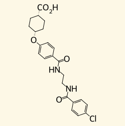 O=C(NCCNC(=O)c1ccc(O[C@H]2CC[C@@H](C(=O)O)CC2)cc1)c1ccc(Cl)cc1